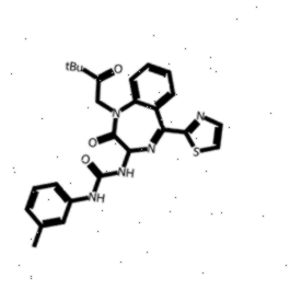 Cc1cccc(NC(=O)NC2N=C(c3nccs3)c3ccccc3N(CC(=O)C(C)(C)C)C2=O)c1